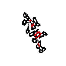 CC1(C)c2ccccc2-c2c(-c3ccccc3N(c3ccc(-c4cccc5cccc(-c6ccccc6)c45)cc3)c3cccc(-c4ccc5c(c4)C(C)(C)c4cccc(-c6ccccc6N(c6ccc(-c7cccc8cccc(-c9ccccc9)c78)cc6)c6cc7ccccc7c7ccccc67)c4-5)c3)cccc21